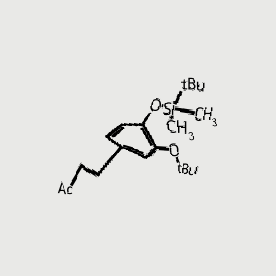 CC(=O)CCc1ccc(O[Si](C)(C)C(C)(C)C)c(OC(C)(C)C)c1